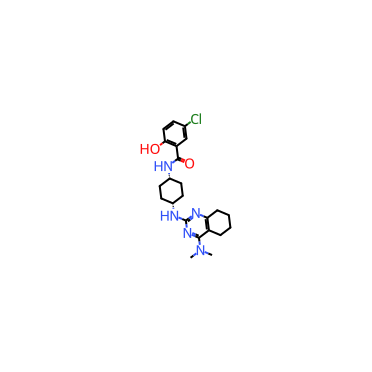 CN(C)c1nc(N[C@H]2CC[C@@H](NC(=O)c3cc(Cl)ccc3O)CC2)nc2c1CCCC2